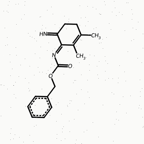 CC1=C(C)/C(=N\C(=O)OCc2ccccc2)C(=N)CC1